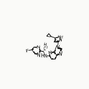 C[C@H](Nc1ccc2ncn(-c3cc(C4CC4)[nH]n3)c2n1)c1ncc(F)cn1